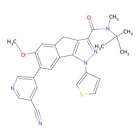 COc1cc2c(cc1-c1cncc(C#N)c1)-c1c(c(C(=O)N(C)C(C)(C)C)nn1-c1ccsc1)C2